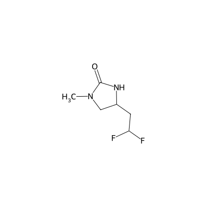 CN1CC(CC(F)F)NC1=O